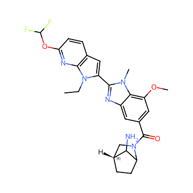 CCn1c(-c2nc3cc(C(=O)N4C[C@H]5CCC4C5N)cc(OC)c3n2C)cc2ccc(OC(F)F)nc21